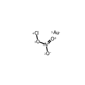 O=[N+]([O-])OCl.[Au]